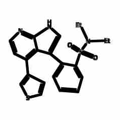 CCN(CC)S(=O)(=O)c1ccccc1-c1c[nH]c2nccc(-c3ccsc3)c12